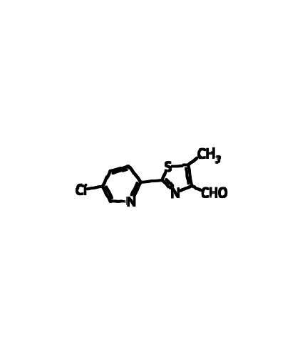 Cc1sc(-c2ccc(Cl)cn2)nc1C=O